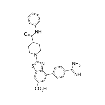 N=C(N)c1ccc(-c2cc(C(=O)O)cc3sc(N4CCC(C(=O)Nc5ccccc5)CC4)nc23)cc1